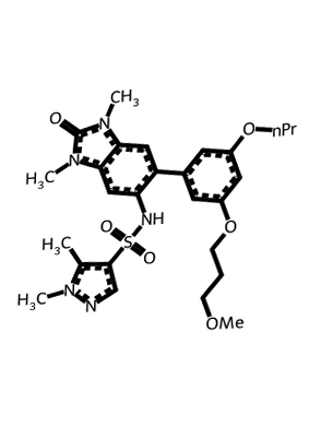 CCCOc1cc(OCCCOC)cc(-c2cc3c(cc2NS(=O)(=O)c2cnn(C)c2C)n(C)c(=O)n3C)c1